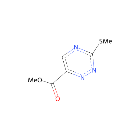 COC(=O)c1cnc(SC)nn1